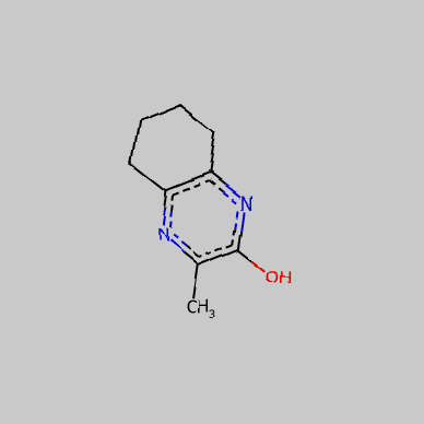 Cc1nc2c(nc1O)CCCC2